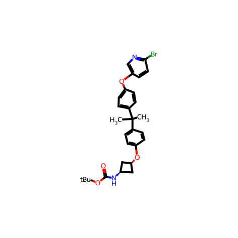 CC(C)(C)OC(=O)N[C@H]1C[C@@H](Oc2ccc(C(C)(C)c3ccc(Oc4ccc(Br)nc4)cc3)cc2)C1